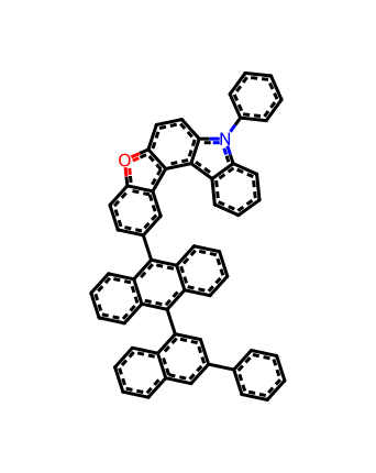 c1ccc(-c2cc(-c3c4ccccc4c(-c4ccc5oc6ccc7c(c8ccccc8n7-c7ccccc7)c6c5c4)c4ccccc34)c3ccccc3c2)cc1